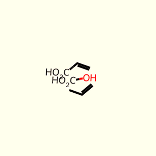 C=CC.C=CC(=O)O.O=C(O)O